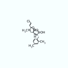 Cc1ccc(C[C@H](NC(=O)CN(C)C(=O)C=CCl)B(O)O)c(C)c1